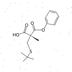 CC(C)(C)SC[C@](C)(C(=O)O)C(=O)Oc1ccccc1